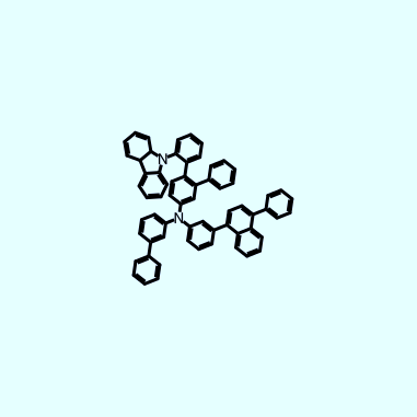 C1=CC2c3ccccc3N(c3ccccc3-c3ccc(N(c4cccc(-c5ccccc5)c4)c4cccc(-c5ccc(-c6ccccc6)c6ccccc56)c4)cc3-c3ccccc3)C2C=C1